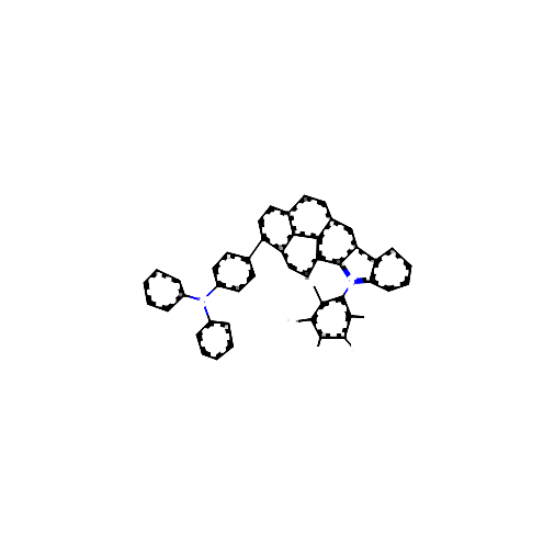 [2H]c1c([2H])c([2H])c(-n2c3ccccc3c3cc4ccc5ccc(-c6ccc(N(c7ccccc7)c7ccccc7)cc6)c6ccc(c4c56)c32)c([2H])c1[2H]